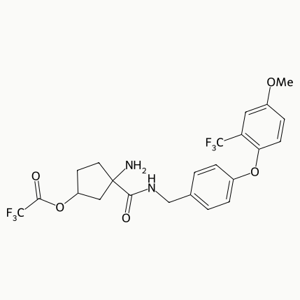 COc1ccc(Oc2ccc(CNC(=O)C3(N)CCC(OC(=O)C(F)(F)F)C3)cc2)c(C(F)(F)F)c1